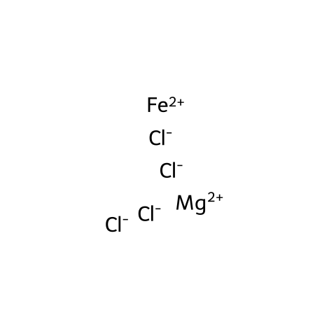 [Cl-].[Cl-].[Cl-].[Cl-].[Fe+2].[Mg+2]